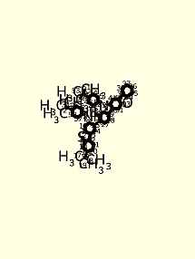 CC(C)(C)c1ccc(Nc2cc3sc4cc(C(C)(C)C)ccc4c3cc2-c2ccc3c4cc5oc6ccccc6c5cc4n4c3c2Bc2cc(C(C)(C)C)ccc2-4)cc1